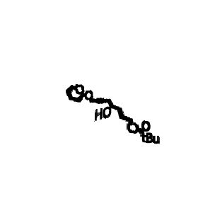 CC(C)(C)C(=O)OCCC[C@H](O)CC#CCOC1CCCCO1